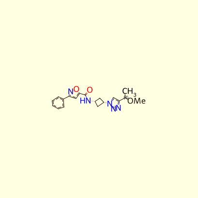 CO[C@H](C)c1cn([C@H]2C[C@@H](NC(=O)c3cc(-c4ccccc4)no3)C2)nn1